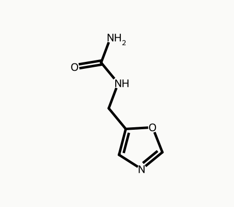 NC(=O)NCc1cnco1